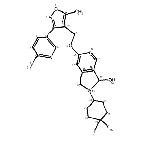 Cc1ccc(-c2noc(C)c2COc2cc3c(cn2)C(O)N(C2CCC(F)(F)CC2)C3)cn1